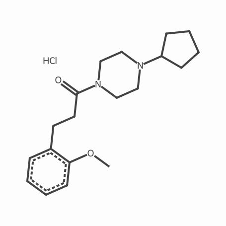 COc1ccccc1CCC(=O)N1CCN(C2CCCC2)CC1.Cl